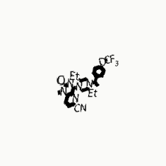 CC[C@H]1CN(C(C)c2ccc(OC(F)(F)F)cc2)[C@H](CC)CN1c1nc(=O)n(C)c2ccc(C#N)nc12